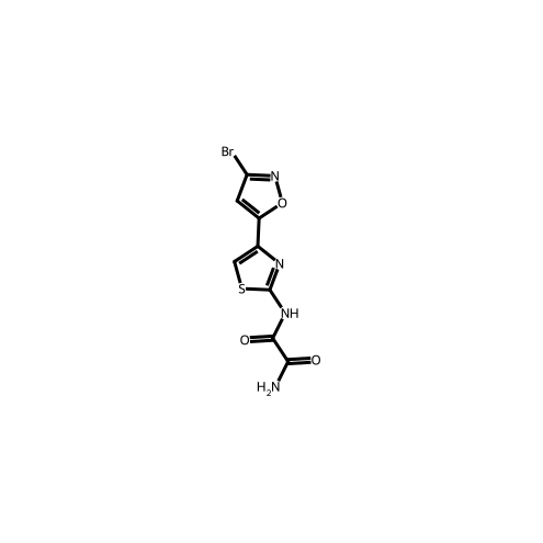 NC(=O)C(=O)Nc1nc(-c2cc(Br)no2)cs1